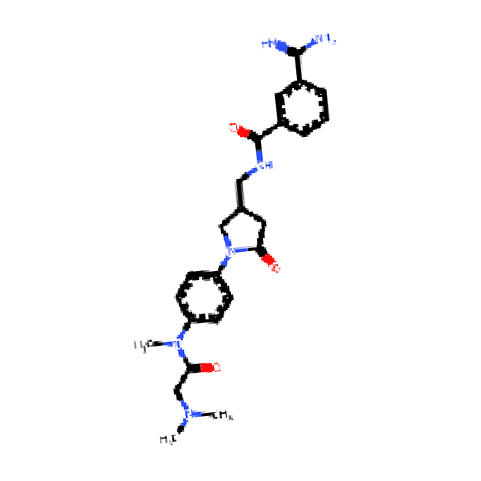 CN(C)CC(=O)N(C)c1ccc(N2CC(CNC(=O)c3cccc(C(=N)N)c3)CC2=O)cc1